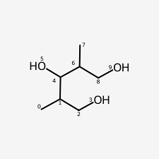 CC(CO)C(O)C(C)CO